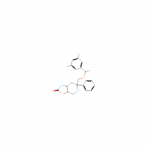 CC(OCC1(c2ccccc2)CC2NC(=O)OC2CN1)c1cc(C(F)(F)F)cc(C(F)(F)F)c1